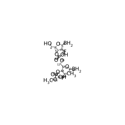 B[C@@H]1OC(CO)[C@H](OP(=O)(O)OCC(O[C@@H](B)C)C(CF)OP(=O)(O)OC)C1F